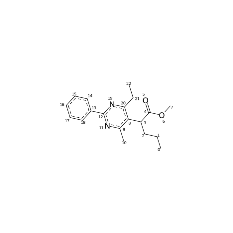 CCCC(C(=O)OC)c1c(C)nc(-c2ccccc2)nc1CC